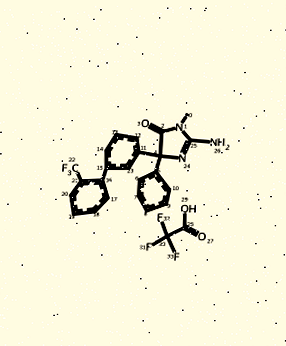 CN1C(=O)C(c2ccccc2)(c2cccc(-c3ccccc3C(F)(F)F)c2)N=C1N.O=C(O)C(F)(F)F